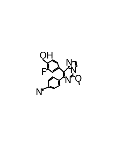 COc1nc(-c2ccc(C#N)cc2)c(-c2ccc(CO)c(F)c2)c2nccn12